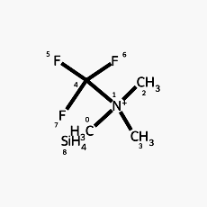 C[N+](C)(C)C(F)(F)F.[SiH4]